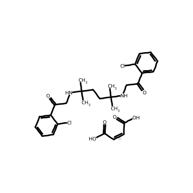 CC(C)(CCC(C)(C)NCC(=O)c1ccccc1Cl)NCC(=O)c1ccccc1Cl.O=C(O)/C=C\C(=O)O